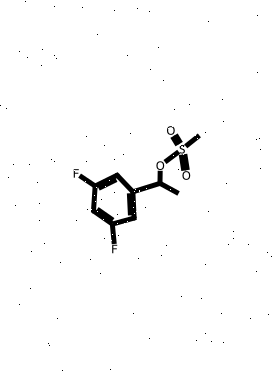 CC(OS(C)(=O)=O)c1cc(F)cc(F)c1